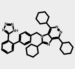 c1ccc(-c2nnn[nH]2)c(-c2ccc(Cn3c(C4CCCCC4)nc4c(C5CCCCC5)nnc(C5CCCCC5)c43)cc2)c1